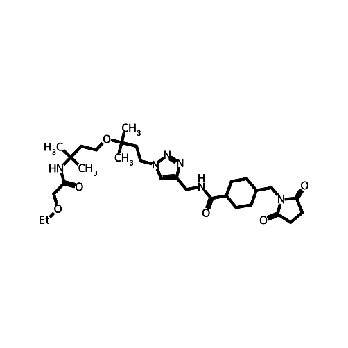 CCOCC(=O)NC(C)(C)CCOC(C)(C)CCn1cc(CNC(=O)C2CCC(CN3C(=O)CCC3=O)CC2)nn1